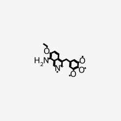 CCOc1ccc2c(Cc3cc(OC)c(OC)c(OC)c3)c[n+](C)cc2c1N